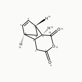 O=C1CC2[C@H]3C=C[C@@H](C3)[C@H]2C(=O)O1